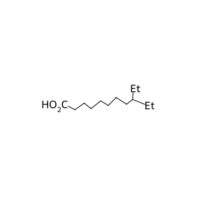 CCC(CC)CCCCCCCC(=O)O